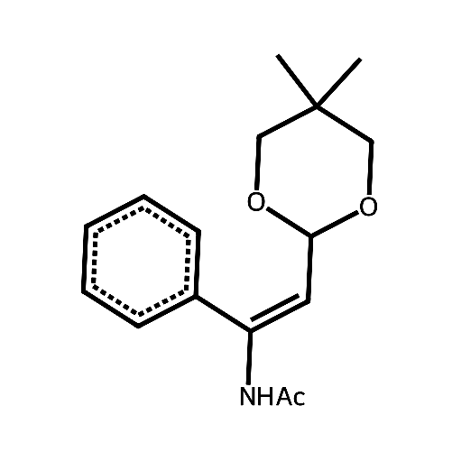 CC(=O)NC(=CC1OCC(C)(C)CO1)c1ccccc1